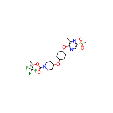 Cc1nc(S(C)(=O)=O)cnc1O[C@H]1CC[C@H](OC2CCN(C(=O)O[C@H](C)C(F)(F)F)CC2)CC1